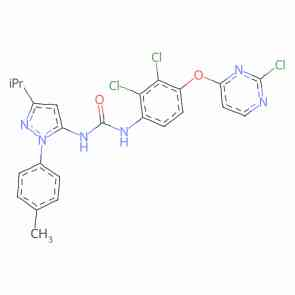 Cc1ccc(-n2nc(C(C)C)cc2NC(=O)Nc2ccc(Oc3ccnc(Cl)n3)c(Cl)c2Cl)cc1